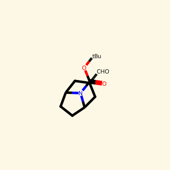 CC(C)(C)OC(=O)N1C2CCC1CC(C=O)C2